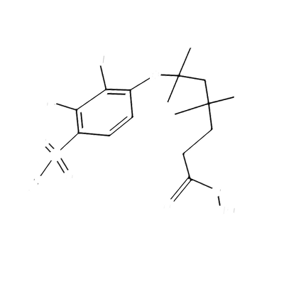 CC(C)(CCC(=O)OC(C)(C)C)CC(C)(C)Oc1ccc(S(N)(=O)=O)c(Cl)c1Cl